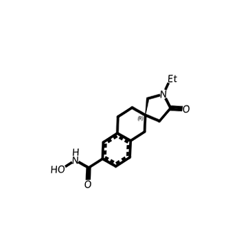 CCN1C[C@@]2(CCc3cc(C(=O)NO)ccc3C2)CC1=O